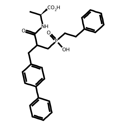 C[C@H](NC(=O)C(Cc1ccc(-c2ccccc2)cc1)CP(=O)(O)CCc1ccccc1)C(=O)O